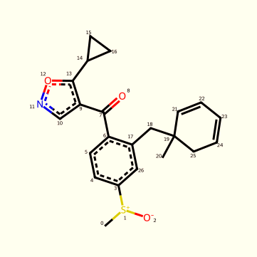 C[S+]([O-])c1ccc(C(=O)c2cnoc2C2CC2)c(CC2(C)C=CC=CC2)c1